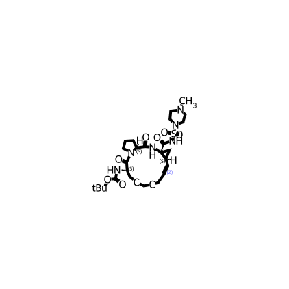 CN1CCN(S(=O)(=O)NC(=O)[C@@]23C[C@H]2/C=C\CCCCC[C@H](NC(=O)OC(C)(C)C)C(=O)N2CCC[C@H]2C(=O)N3)CC1